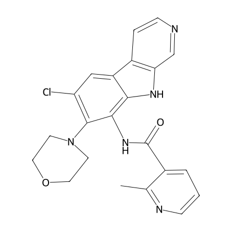 Cc1ncccc1C(=O)Nc1c(N2CCOCC2)c(Cl)cc2c1[nH]c1cnccc12